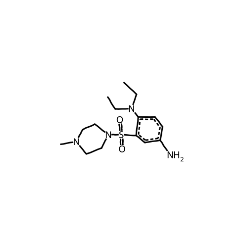 CCN(CC)c1ccc(N)cc1S(=O)(=O)N1CCN(C)CC1